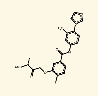 CON(C)C(=O)COc1cc(C(=O)Nc2ccc(-n3ccnc3)c(C(F)(F)F)c2)ccc1F